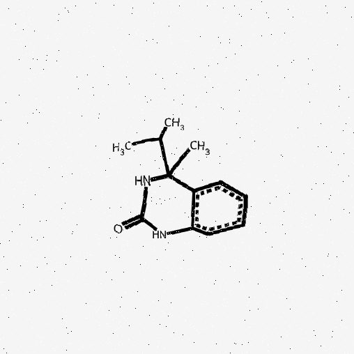 CC(C)C1(C)NC(=O)Nc2ccccc21